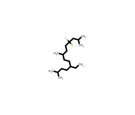 CCC(CCC(C)C)CCC(C)CCC(F)(F)CC(C)C